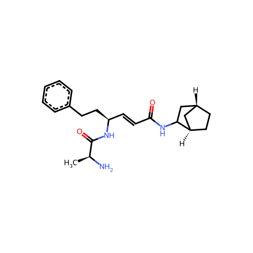 C[C@H](N)C(=O)N[C@H](/C=C/C(=O)NC1C[C@@H]2CC[C@@H]1C2)CCc1ccccc1